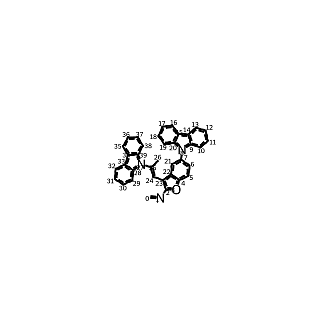 C=Nc1oc2ccc(-n3c4ccccc4c4ccccc43)cc2c1/C=C(\C)n1c2ccccc2c2ccccc21